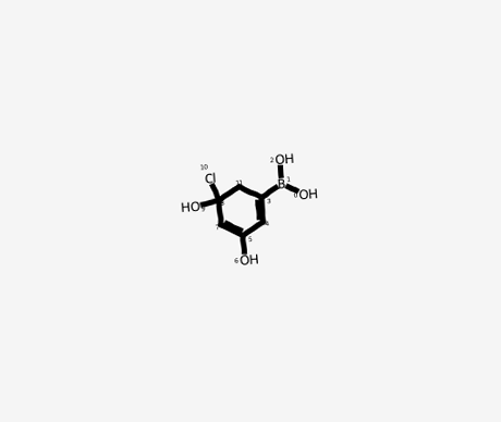 OB(O)C1=CC(O)=CC(O)(Cl)C1